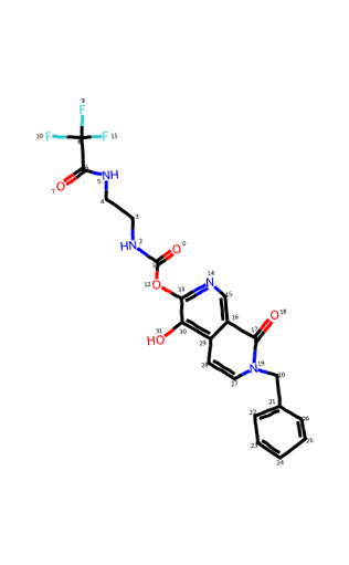 O=C(NCCNC(=O)C(F)(F)F)Oc1ncc2c(=O)n(Cc3ccccc3)ccc2c1O